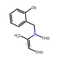 C/C(=C/C=O)N(C=O)Cc1ccccc1C#N